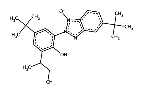 CCC(C)c1cc(C(C)(C)C)cc(-n2nc3cc(C(C)(C)C)ccc3[n+]2[O-])c1O